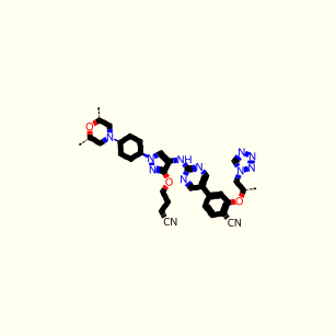 C[C@@H]1CN([C@H]2CC[C@H](n3cc(Nc4ncc(-c5ccc(C#N)c(O[C@@H](C)Cn6cnnn6)c5)cn4)c(OCCCC#N)n3)CC2)C[C@H](C)O1